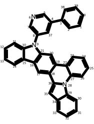 c1ccc(-c2cncc(-n3c4ccccc4c4cc5c(cc43)c3ccccc3n3c4ccccc4cc53)c2)cc1